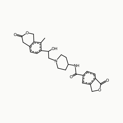 Cc1c(C(O)CN2CCC(NC(=O)c3ccc4c(c3)COC4=O)CC2)ccc2c1COC(=O)C2